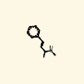 CNC(C)C=Cc1ccccc1